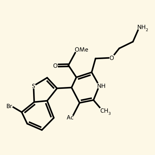 COC(=O)C1=C(COCCN)NC(C)=C(C(C)=O)C1c1csc2c(Br)cccc12